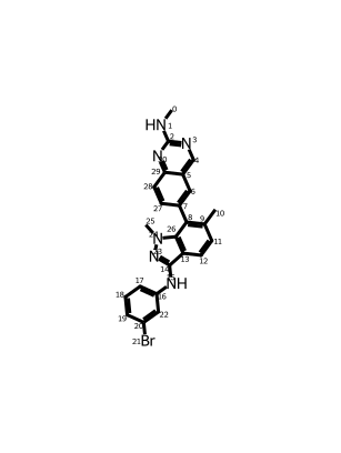 CNc1ncc2cc(-c3c(C)ccc4c(Nc5cccc(Br)c5)nn(C)c34)ccc2n1